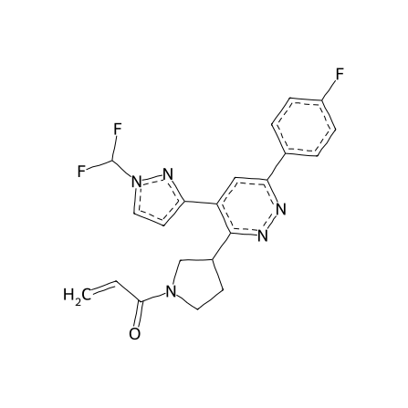 C=CC(=O)N1CCC(c2nnc(-c3ccc(F)cc3)cc2-c2ccn(C(F)F)n2)C1